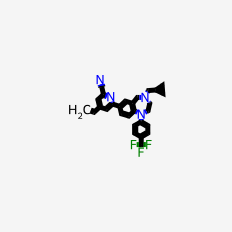 C=Cc1cc(C#N)nc(-c2ccc3c(c2)CN(CC2CC2)CCN3c2ccc(C(F)(F)F)cc2)c1